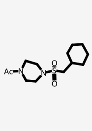 CC(=O)N1CCN(S(=O)(=O)CC2CCCCC2)CC1